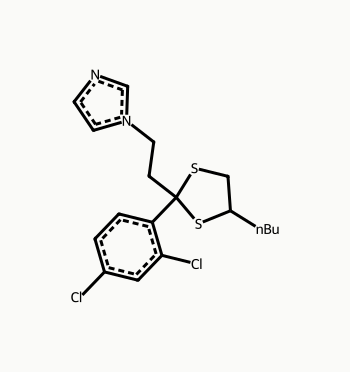 CCCCC1CSC(CCn2ccnc2)(c2ccc(Cl)cc2Cl)S1